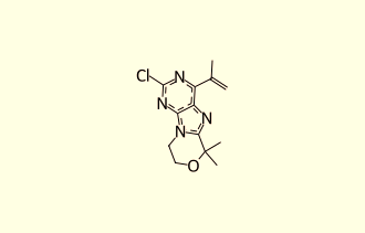 C=C(C)c1nc(Cl)nc2c1nc1n2CCOC1(C)C